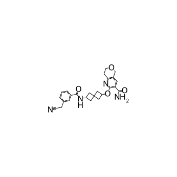 N#CCc1cccc(C(=O)N[C@H]2CC3(C2)C[C@H](Oc2nc4c(cc2C(N)=O)COCC4)C3)c1